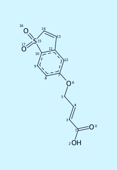 O=C(O)/C=C/COc1ccc2c(c1)C=CS2(=O)=O